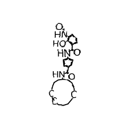 O=CNc1cccc(C(=O)Nc2ccc(C(=O)NC3CCCCCCCCCCCCCC3)cc2)c1O